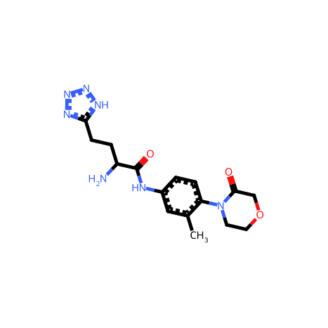 Cc1cc(NC(=O)C(N)CCc2nnn[nH]2)ccc1N1CCOCC1=O